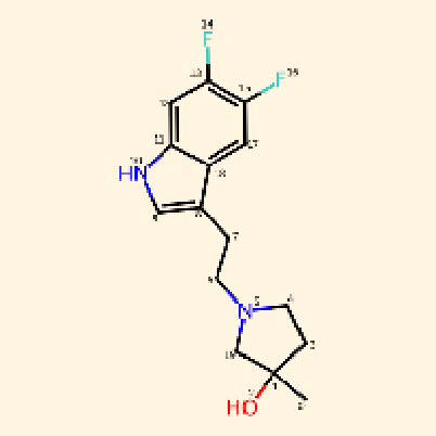 CC1(O)CCN(CCc2c[nH]c3cc(F)c(F)cc23)C1